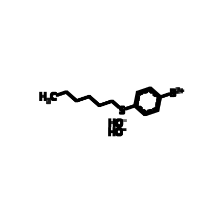 [B+2]c1ccc(SCCCCCC)cc1.[OH-].[OH-]